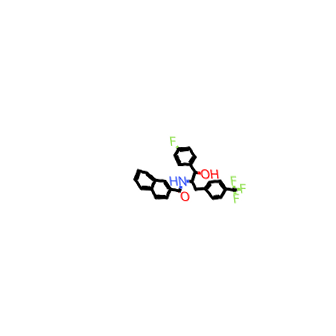 O=C(NC(Cc1ccc(C(F)(F)F)cc1)C(O)c1ccc(F)cc1)c1ccc2ccccc2c1